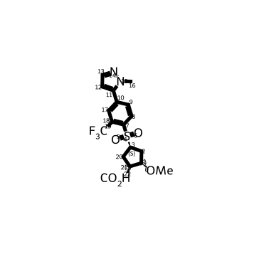 CO[C@H]1C[C@@H](S(=O)(=O)c2ccc(-c3ccnn3C)cc2C(F)(F)F)C[C@@H]1C(=O)O